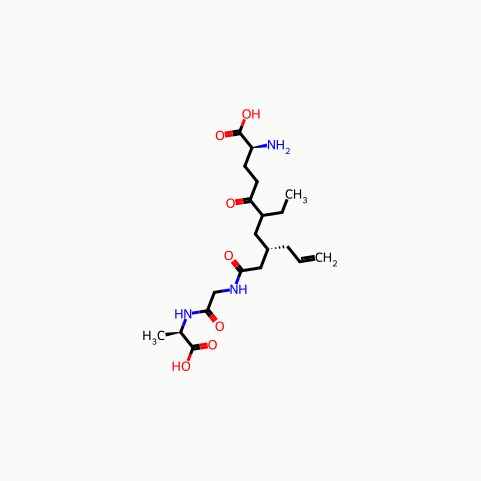 C=CC[C@H](CC(=O)NCC(=O)N[C@H](C)C(=O)O)CC(CC)C(=O)CC[C@H](N)C(=O)O